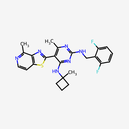 Cc1nc(NCc2c(F)cccc2F)nc(NC2(C)CCC2)c1-c1nc2c(C)nccc2s1